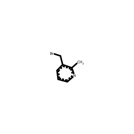 Cc1ncccc1CBr